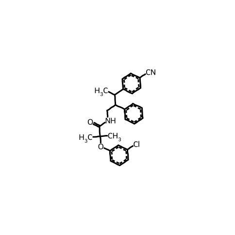 CC(c1ccc(C#N)cc1)C(CNC(=O)C(C)(C)Oc1cccc(Cl)c1)c1ccccc1